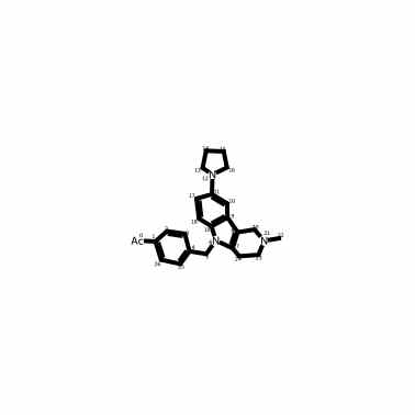 CC(=O)c1ccc(Cn2c3c(c4cc(N5CCCC5)ccc42)CN(C)CC3)cc1